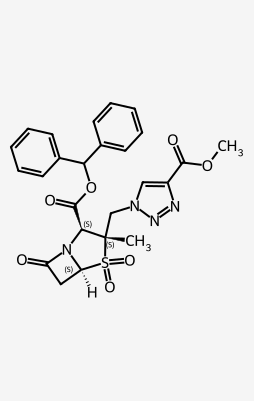 COC(=O)c1cn(C[C@@]2(C)[C@H](C(=O)OC(c3ccccc3)c3ccccc3)N3C(=O)C[C@@H]3S2(=O)=O)nn1